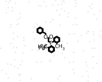 Cc1ccccc1P(CC(=O)OCc1ccccc1)c1ccccc1C.[Pd].[Pd]